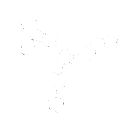 N#Cc1ccc2c(c1)C1(CCCCC1)c1cc(-c3nc(-c4ccc5c(c4)oc4ccccc45)nc(-c4ccc5c(c4)oc4ccccc45)n3)ccc1-2